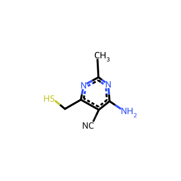 Cc1nc(N)c(C#N)c(CS)n1